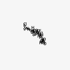 CC1(C)CCC(c2ccc(Cl)cc2)=C(CN2CCN(c3ccc(C(=O)NS(=O)(=O)c4ccc(N[C@H](CCN5C[C@H]6C[C@@H]5CN6Cc5cc6c(cc5F)C(=O)N(C5CCC(=O)NC5=O)C6=O)CSc5ccccc5)c(S(=O)(=O)C(F)(F)F)c4)cc3)CC2)C1